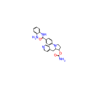 NC(=O)OC1CCN(c2ccc(C(=O)Nc3ccccc3N)cc2)C1Cc1ccncc1